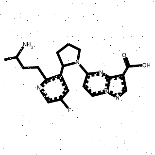 CC(N)CCc1ncc(F)cc1C1CCCN1c1ccn2ncc(C(=O)O)c2n1